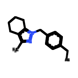 CC(=O)Cc1ccc(Cn2nc(C(F)(F)F)c3c2CCCC3)cc1